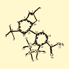 CC1=Cc2cc(C(C)(C)C)cc(-c3ccc(C([NH])=O)c4c3[Si](C)(C)[Si](C)(C)[Si]4(C)C)c2C1